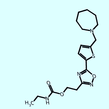 CCNC(=O)OCCc1noc(-c2ccc(CN3CCCCCC3)s2)n1